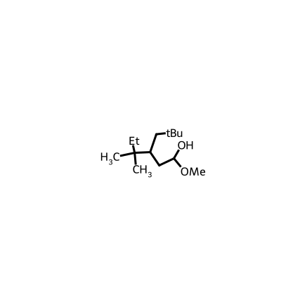 CCC(C)(C)C(CC(O)OC)CC(C)(C)C